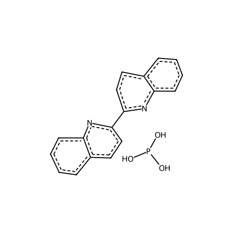 OP(O)O.c1ccc2nc(-c3ccc4ccccc4n3)ccc2c1